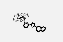 CC1(C)OB(c2cccc(-c3ccc(-c4ccc5ccccc5c4)s3)c2)OC1(C)C